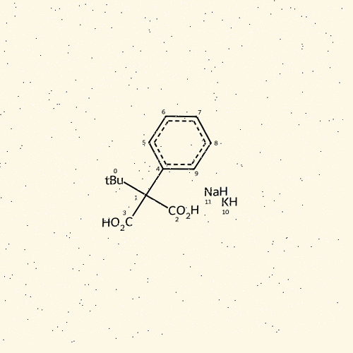 CC(C)(C)C(C(=O)O)(C(=O)O)c1ccccc1.[KH].[NaH]